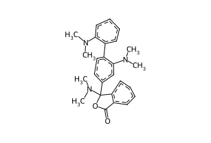 CN(C)c1ccccc1-c1ccc(C2(N(C)C)OC(=O)c3ccccc32)cc1N(C)C